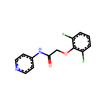 O=C(COc1c(F)cccc1F)Nc1ccncc1